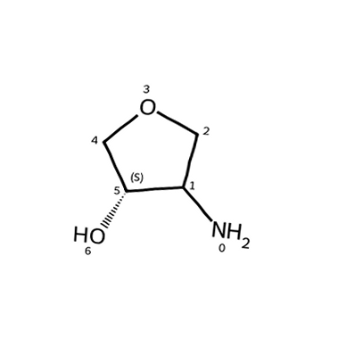 NC1COC[C@H]1O